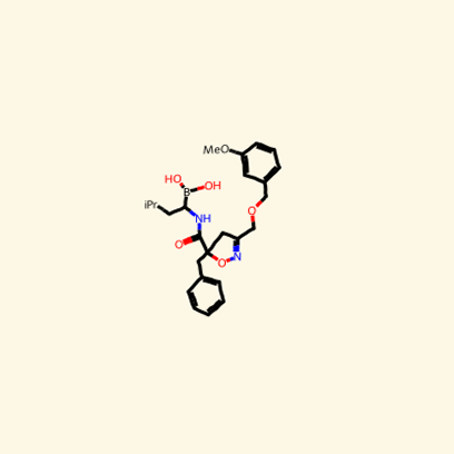 COc1cccc(COCC2=NOC(Cc3ccccc3)(C(=O)NC(CC(C)C)B(O)O)C2)c1